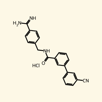 Cl.N#Cc1cccc(-c2cccc(C(=O)NCc3ccc(C(=N)N)cc3)c2)c1